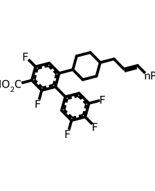 CCCC=CCC1CCC(c2cc(F)c(C(=O)O)c(F)c2-c2cc(F)c(F)c(F)c2)CC1